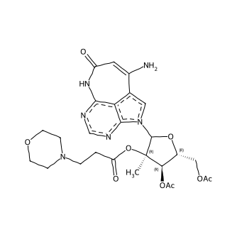 CC(=O)OC[C@H]1OC(n2cc3c4c(ncnc42)NC(=O)C=C3N)[C@](C)(OC(=O)CCN2CCOCC2)[C@@H]1OC(C)=O